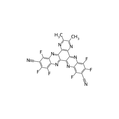 Cc1nc2c(nc1C)c1nc3c(F)c(C#N)c(F)c(F)c3nc1c1nc3c(F)c(C#N)c(F)c(F)c3nc21